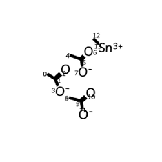 CC(=O)[O-].CC(=O)[O-].CC(=O)[O-].[CH3][Sn+3]